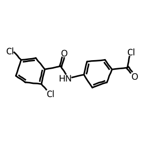 O=C(Cl)c1ccc(NC(=O)c2cc(Cl)ccc2Cl)cc1